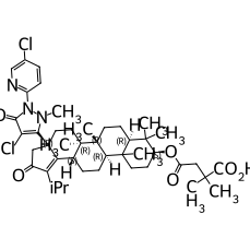 CC(C)C1=C2[C@H]3CC[C@@H]4C5(C)CC[C@H](OC(=O)CC(C)(C)C(=O)O)C(C)(C)[C@@H]5CC[C@@]4(C)[C@]3(C)CC[C@@]2(c2c(Cl)c(=O)n(-c3ccc(Cl)cn3)n2C)CC1=O